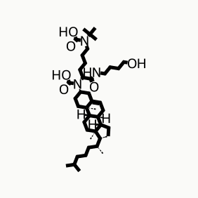 CC(C)CCC[C@@H](C)[C@H]1CC[C@H]2[C@@H]3CC=C4C[C@@H](N(C(=O)O)C(CCCCN(C(=O)O)C(C)(C)C)C(=O)NCCCCO)CC[C@]4(C)[C@H]3CC[C@]12C